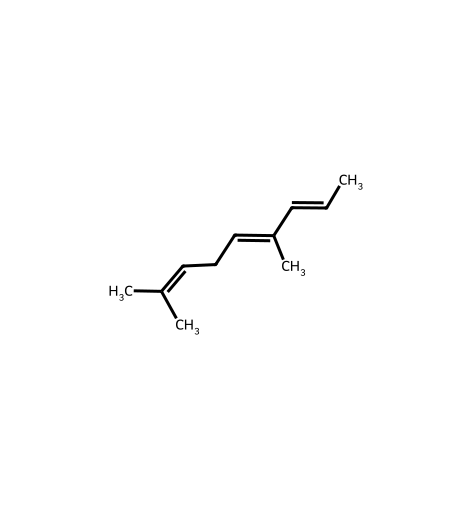 C/C=C/C(C)=C/CC=C(C)C